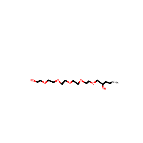 CCCCCCCCCCCCC(O)COCCOCCOCCOCCOCCO